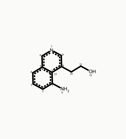 Nc1cccc2cncc(CCO)c12